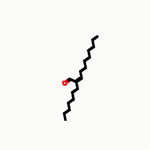 CCCCCCCC/C=C(\C=O)CCCCCCC